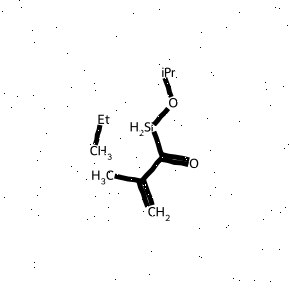 C=C(C)C(=O)[SiH2]OC(C)C.CCC